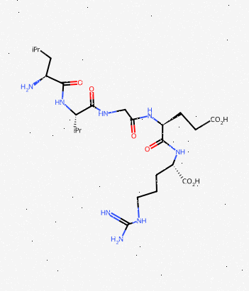 CC(C)C[C@H](N)C(=O)N[C@H](C(=O)NCC(=O)N[C@@H](CCC(=O)O)C(=O)N[C@@H](CCCNC(=N)N)C(=O)O)C(C)C